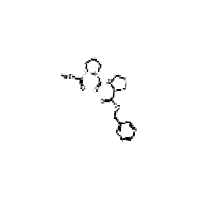 COC(=O)[C@@H]1CCCN1C(=O)[C@@H]1CCCN1C(=O)OCc1ccccc1